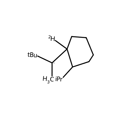 [2H]C1([C](C)C(C)(C)C)CCCCC1C(C)C